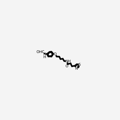 O=CNc1ccc(OCCCCCNC(=O)CCc2cscn2)cc1